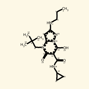 CCCNc1cc2n(CC(C)(C)C)c(=O)c(C(=O)NC3CC3)c(O)n2n1